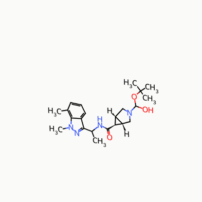 Cc1cccc2c(C(C)NC(=O)[C@H]3[C@@H]4CN(C(O)OC(C)(C)C)C[C@@H]43)nn(C)c12